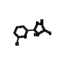 S=c1[nH]nc(-c2cccc(Cl)n2)[nH]1